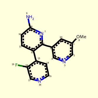 COc1cncc(-c2nc(N)ccc2-c2ccncc2F)c1